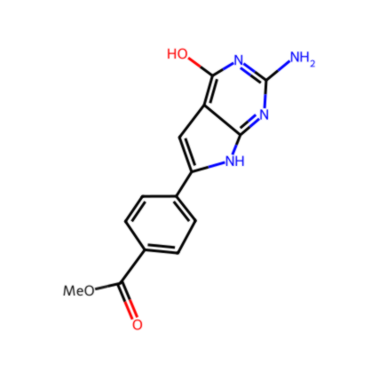 COC(=O)c1ccc(-c2cc3c(O)nc(N)nc3[nH]2)cc1